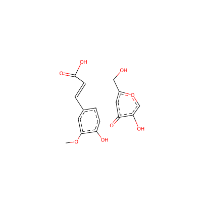 COc1cc(/C=C/C(=O)O)ccc1O.O=c1cc(CO)occ1O